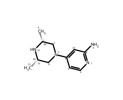 C[C@@H]1CN(c2ccnc(N)c2)C[C@H](C)N1